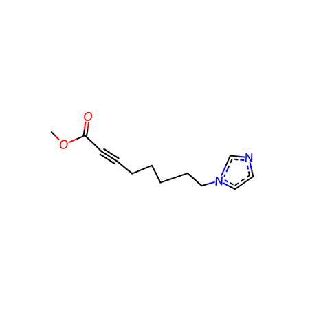 COC(=O)C#CCCCCCn1ccnc1